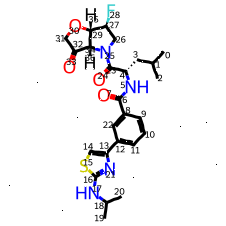 CC(C)C[C@H](NC(=O)c1cccc(-c2csc(NC(C)C)n2)c1)C(=O)N1C[C@H](F)[C@H]2OCC(=O)[C@H]21